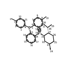 Cc1ccc(P(c2ccc(C)cc2)c2ccccc2[PH](=O)[C@@H]2C[C@H](C)CC[C@H]2C(C)C)cc1